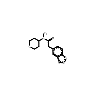 CN(C(=O)Cc1ccc2nonc2c1)C1CCOCC1